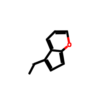 C[CH]c1ccc2occcc1-2